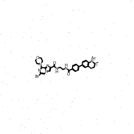 CC(=O)N1c2ccc(-c3ccc(C(=O)NCCNC(=O)c4cn5cc(Br)nc(N6CCOCC6)c5n4)cc3)cc2CC[C@@H]1C